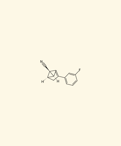 N#C[C@]12C3=C(c4cccc(F)c4)C[C@@H]1[C@H]32